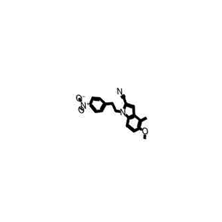 COc1ccc2c(cc(C#N)n2CCc2ccc([N+](=O)[O-])cc2)c1C